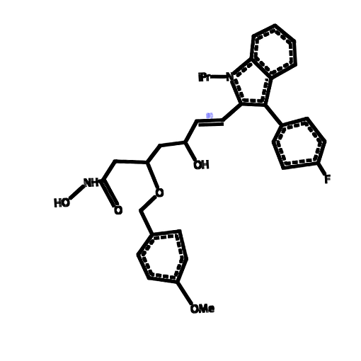 COc1ccc(COC(CC(=O)NO)CC(O)/C=C/c2c(-c3ccc(F)cc3)c3ccccc3n2C(C)C)cc1